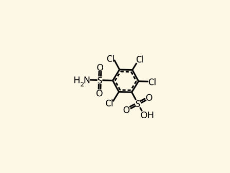 NS(=O)(=O)c1c(Cl)c(Cl)c(Cl)c(S(=O)(=O)O)c1Cl